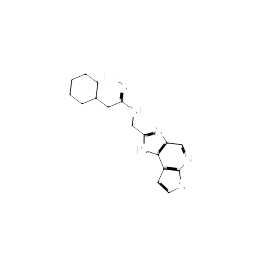 O/N=C(\CC1CCCCC1)NCc1nc2cnc3[nH]ccc3c2[nH]1